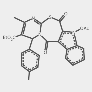 CCOC(=O)C1=C(C)N=C2SC(=O)c3c(c4ccccc4n3OC(C)=O)C(=O)N2C1c1ccc(C)cc1